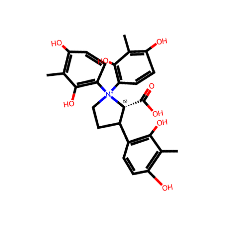 Cc1c(O)ccc(C2CC[N+](c3ccc(O)c(C)c3O)(c3ccc(O)c(C)c3O)[C@@H]2C(=O)O)c1O